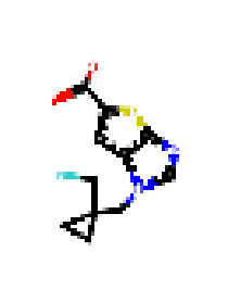 O=C(O)c1cc2c(ncn2CC2(CF)CC2)s1